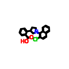 O=C(O)c1ccccc1C1CCN(c2c(Cl)ccc3ccccc23)C1